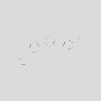 O=[N+]([O-])c1ccc(Nc2nccc(-c3cccc(Cn4cncn4)c3)n2)cc1